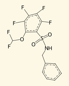 O=S(=O)(NCc1ccccc1)c1c(F)c(F)c(F)c(F)c1OC(F)F